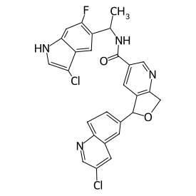 CC(NC(=O)c1cnc2c(c1)C(c1ccc3ncc(Cl)cc3c1)OC2)c1cc2c(Cl)c[nH]c2cc1F